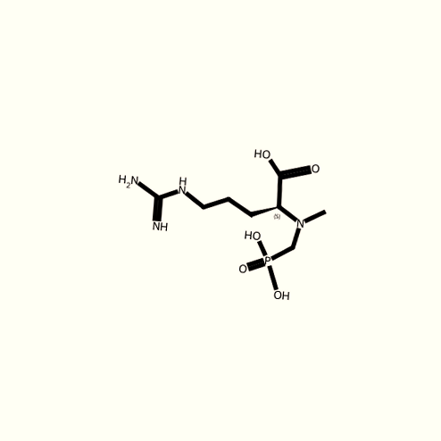 CN(CP(=O)(O)O)[C@@H](CCCNC(=N)N)C(=O)O